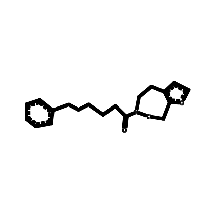 O=C(CCCCCc1ccccc1)N1CCc2ccoc2CC1